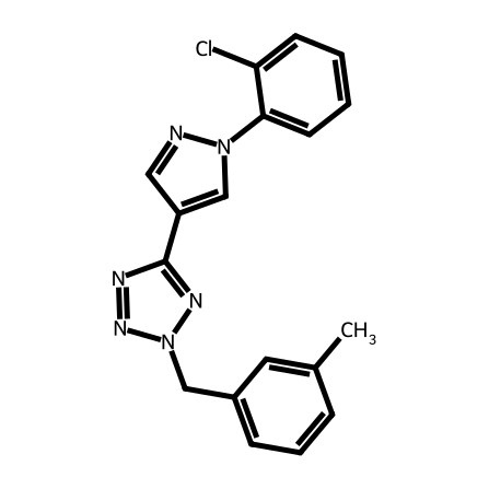 Cc1cccc(Cn2nnc(-c3cnn(-c4ccccc4Cl)c3)n2)c1